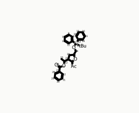 CC(=O)C1OC(CO[Si](c2ccccc2)(c2ccccc2)C(C)(C)C)CC1C(C)OC(=O)c1ccccc1